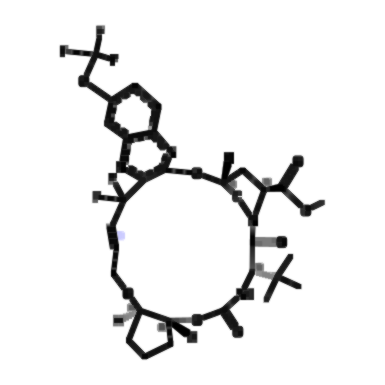 COC(=O)[C@@H]1C[C@@H]2CN1C(=O)[C@H](C(C)(C)C)NC(=O)O[C@@H]1CCC[C@H]1OC/C=C/C(F)(F)c1nc3cc(OC(F)(F)F)ccc3nc1O2